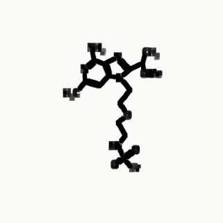 COC(C)c1nc2c(N)nc(C)cc2n1CCOCCNS(=O)(=O)C(C)C